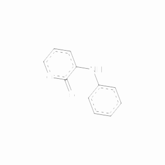 O=c1occcc1Nc1ccccc1